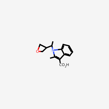 Cc1c(C(=O)O)c2ccccc2n1C(C)C1COC1